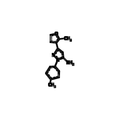 Cc1ccc(-n2nc(-c3ccoc3C)cc2N)cc1